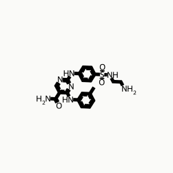 Cc1cccc(Nc2nc(Nc3ccc(S(=O)(=O)NCCN)cc3)ncc2C(N)=O)c1